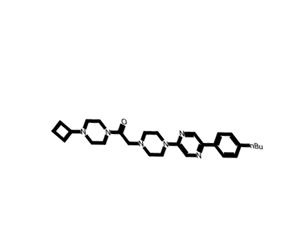 CCCCc1ccc(-c2cnc(N3CCN(CC(=O)N4CCN(C5CCC5)CC4)CC3)cn2)cc1